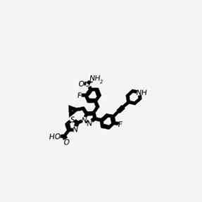 N[S+]([O-])c1ccc(Cc2c(-c3ccc(F)c(C#CC4CCNCC4)c3)nn(-c3nc(C(=O)O)cs3)c2CC2CC2)cc1F